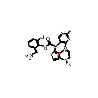 [CH2]CN1CCN(c2nc(C)ncc2N(C(=O)Nc2c(Cl)cccc2CN)c2nccs2)CC1